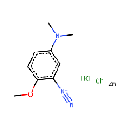 COc1ccc(N(C)C)cc1[N+]#N.Cl.[Cl-].[Zn]